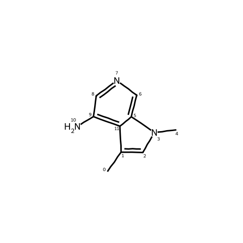 Cc1cn(C)c2cncc(N)c12